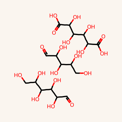 O=C(O)C(O)C(O)C(O)C(O)C(=O)O.O=CC(O)C(O)C(O)C(O)CO.O=CC(O)C(O)C(O)CO